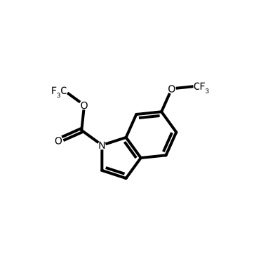 O=C(OC(F)(F)F)n1ccc2ccc(OC(F)(F)F)cc21